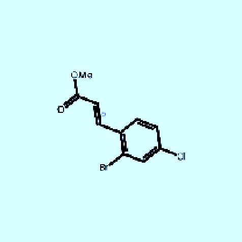 COC(=O)/C=C/c1ccc(Cl)cc1Br